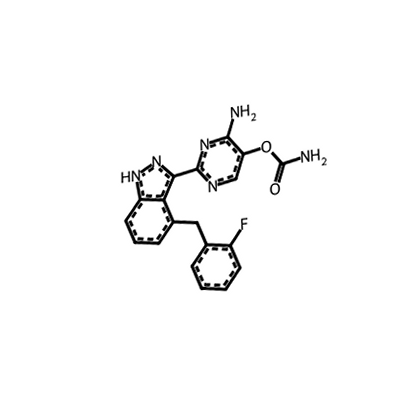 NC(=O)Oc1cnc(-c2n[nH]c3cccc(Cc4ccccc4F)c23)nc1N